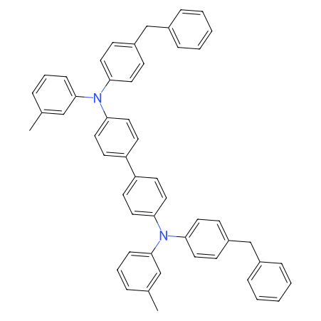 Cc1cccc(N(c2ccc(Cc3ccccc3)cc2)c2ccc(-c3ccc(N(c4ccc(Cc5ccccc5)cc4)c4cccc(C)c4)cc3)cc2)c1